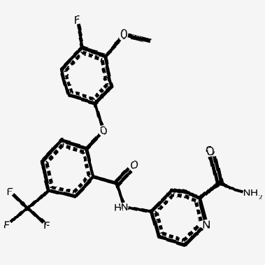 COc1cc(Oc2ccc(C(F)(F)F)cc2C(=O)Nc2ccnc(C(N)=O)c2)ccc1F